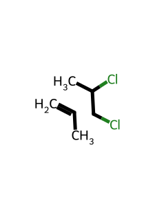 C=CC.CC(Cl)CCl